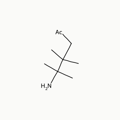 CC(=O)CC(C)(C)C(C)(C)N